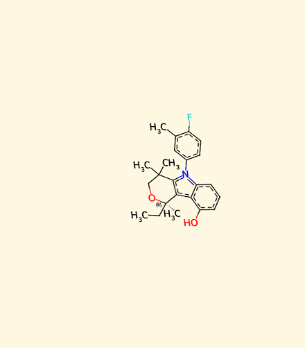 CC[C@@]1(C)OCC(C)(C)c2c1c1c(O)cccc1n2-c1ccc(F)c(C)c1